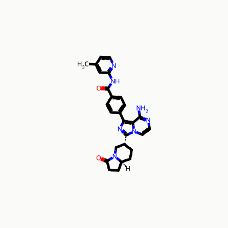 Cc1ccnc(NC(=O)c2ccc(-c3nc([C@@H]4CC[C@H]5CCC(=O)N5C4)n4ccnc(N)c34)cc2)c1